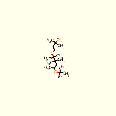 CCC(C)(C)OC(C)CC(C)(C)C(C)(C)OCCC(C)(C)O